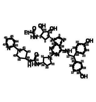 CCC(=O)N[C@H]1C[C@@H](n2cnc3c(NCC(c4ccc(O)cc4)c4ccc(O)cc4)nc(N4CC[C@@H](NC(=O)NC5CCN(c6ccccn6)CC5)C4)nc32)[C@H](O)[C@@H]1O